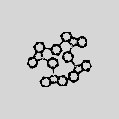 c1cc(-c2cccc3c4ccccc4n(-c4cccc(-n5c6ccccc6c6ccccc65)c4)c23)cc(-c2cccc3c4ccccc4n(-c4cccc(-n5c6ccccc6c6ccccc65)c4)c23)c1